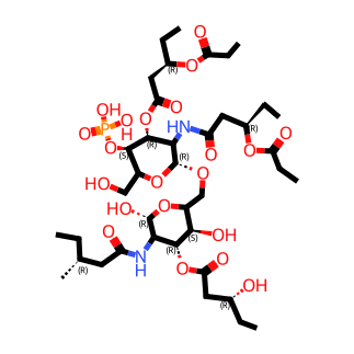 CCC(=O)O[C@H](CC)CC(=O)NC1[C@H](OCC2O[C@@H](O)C(NC(=O)C[C@H](C)CC)[C@@H](OC(=O)C[C@H](O)CC)[C@@H]2O)OC(CO)[C@@H](OP(=O)(O)O)[C@@H]1OC(=O)C[C@@H](CC)OC(=O)CC